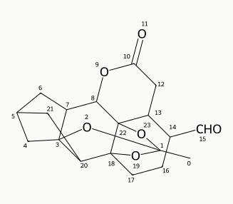 CC12OC34CC5CC3C3OC(=O)CC6C(C=O)CCC(O1)(C4C5)C63O2